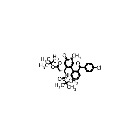 Cn1cc(-c2ccccc2C(=O)c2ccc(Cl)cc2)c([C@H](CC(=O)OC(C)(C)C)N[S+]([O-])C(C)(C)C)cc1=O